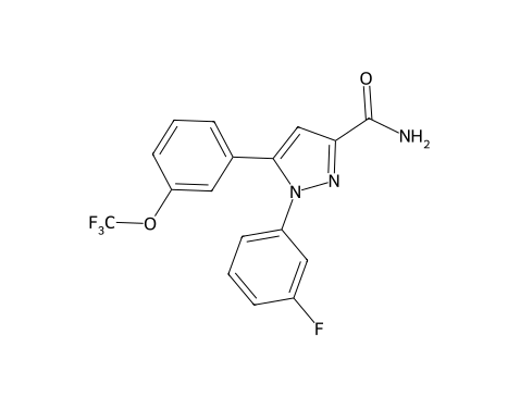 NC(=O)c1cc(-c2cccc(OC(F)(F)F)c2)n(-c2cccc(F)c2)n1